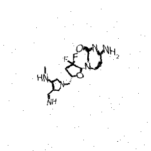 CNC1=C(C=N)CN(C[C@@H]2CC(F)(F)[C@H](n3ccc(N)nc3=O)O2)C1